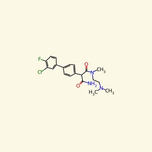 CN(C)CCN(C)C(=O)C(C(N)=O)c1ccc(-c2ccc(F)c(Cl)c2)cc1